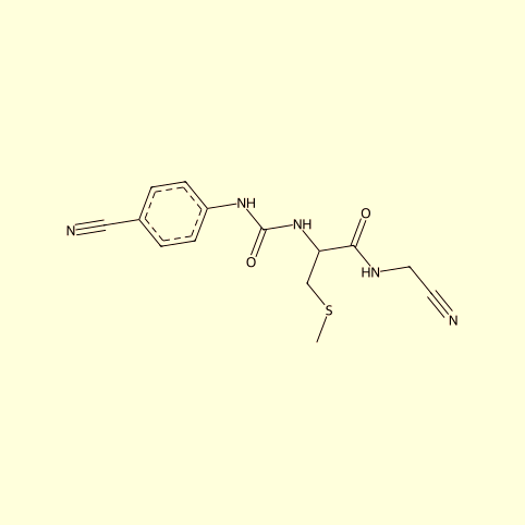 CSCC(NC(=O)Nc1ccc(C#N)cc1)C(=O)NCC#N